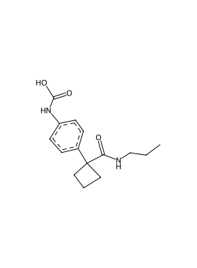 CCCNC(=O)C1(c2ccc(NC(=O)O)cc2)CCC1